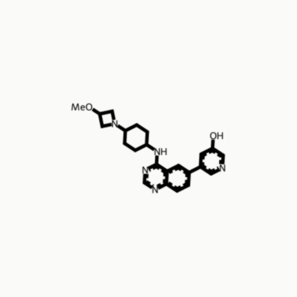 COC1CN(C2CCC(Nc3ncnc4ccc(-c5cncc(O)c5)cc34)CC2)C1